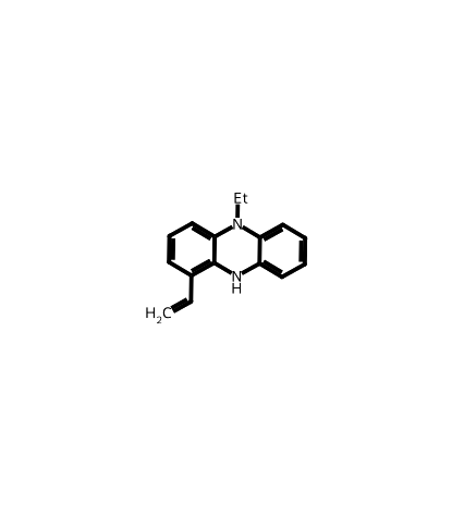 C=Cc1cccc2c1Nc1ccccc1N2CC